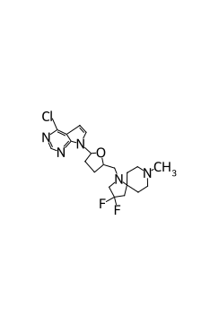 CN1CCC2(CC1)CC(F)(F)CN2CC1CCC(n2ccc3c(Cl)ncnc32)O1